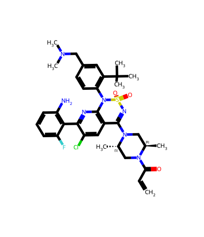 C=CC(=O)N1C[C@H](C)N(C2=NS(=O)(=O)N(c3ccc(CN(C)C)cc3C(C)(C)C)c3nc(-c4c(N)cccc4F)c(Cl)cc32)C[C@H]1C